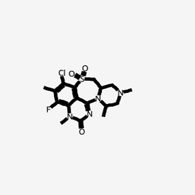 Cc1c(Cl)c2c3c(nc(=O)n(C)c3c1F)N1C(C)CN(C)CC1CS2(=O)=O